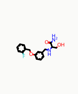 NC(=O)C(CO)NCc1cccc(OCc2ccccc2F)c1